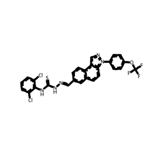 FC(F)(F)Oc1ccc(-n2ncc3c4ccc(/C=N/NC(=S)Nc5c(Cl)cccc5Cl)cc4ccc32)cc1